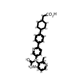 COC(=O)N(c1ccc(-c2ccc(C3CCC(CC(=O)O)CC3)cc2)nc1)c1cccnc1C